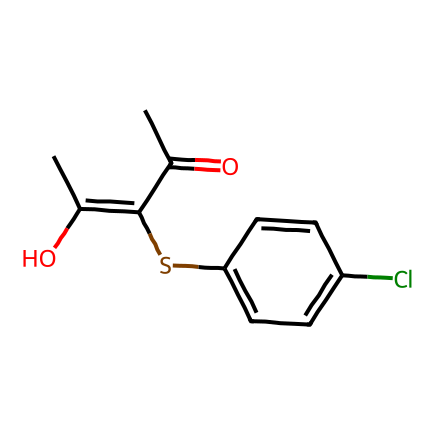 CC(=O)C(Sc1ccc(Cl)cc1)=C(C)O